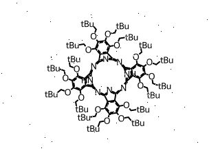 CC(C)(C)COc1c(OCC(C)(C)C)c(OCC(C)(C)C)c2c(c1OCC(C)(C)C)-c1nc-2nc2[nH]c(nc3nc(nc4[nH]c(n1)c1c(OCC(C)(C)C)c(OCC(C)(C)C)c(OCC(C)(C)C)c(OCC(C)(C)C)c41)-c1c(OCC(C)(C)C)c(OCC(C)(C)C)c(OCC(C)(C)C)c(OCC(C)(C)C)c1-3)c1c(OCC(C)(C)C)c(OCC(C)(C)C)c(OCC(C)(C)C)c(OCC(C)(C)C)c21